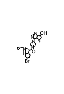 C[C@@H]1C[C@@H](O)c2ncnc(N3CCN(C(=O)[C@H](CNCC4CC4)c4ccc(Br)cc4)CC3)c21